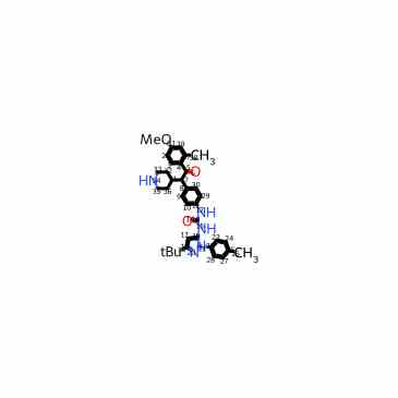 COc1ccc(C(=O)C(c2ccc(NC(=O)Nc3cc(C(C)(C)C)nn3-c3ccc(C)cc3)cc2)C2CCNCC2)c(C)c1